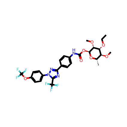 CCO[C@@H]1[C@@H](OC)[C@H](C)O[C@@H](OC(=O)Nc2ccc(-c3nc(C(F)(F)F)n(-c4ccc(OC(F)(F)F)cc4)n3)cc2)[C@@H]1OC